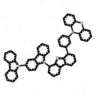 c1cc(B2c3ccccc3Oc3ccccc32)cc(-c2cccc3c2oc2c(-n4c5ccccc5c5cc(-n6c7ccccc7c7ccccc76)ccc54)cccc23)c1